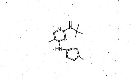 Cc1ccc(Nc2nc(NC(C)(C)C)ncc2C)cc1